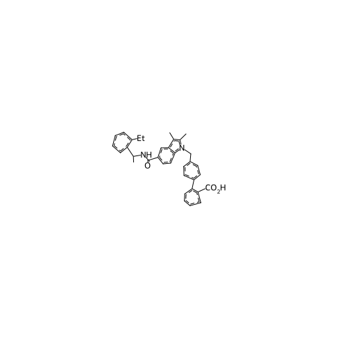 CCc1ccccc1C(C)NC(=O)c1ccc2c(c1)c(C)c(C)n2Cc1ccc(-c2ccccc2C(=O)O)cc1